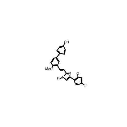 CCn1cc(-c2ccc(Cl)cc2Cl)nc1/C=C/c1cc(-c2ccc(O)cc2)ccc1OC